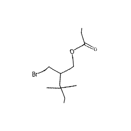 CC(=O)OCC(CBr)C(C)(C)C